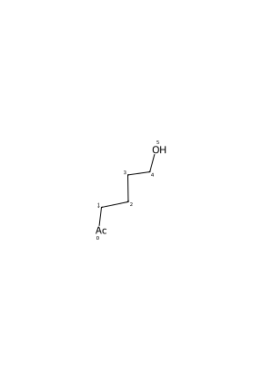 CC(=O)[CH]CCCO